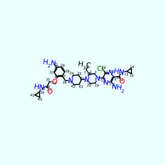 CC[C@H]1CN(c2nc(N)c(C(=O)NC3CC3)nc2Cl)CCN1C1CCN(Cc2ccc(N)cc2OCC(=O)NC2CC2)CC1